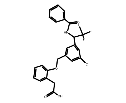 O=C(O)Cc1ccccc1OCc1cc(Cl)cc(C(NC(=O)c2ccccc2)C(F)(F)F)c1